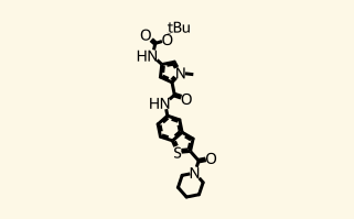 Cn1cc(NC(=O)OC(C)(C)C)cc1C(=O)Nc1ccc2sc(C(=O)N3CCCCC3)cc2c1